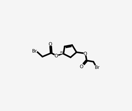 O=C(CBr)OC1C=C[C@H](OC(=O)CBr)C1